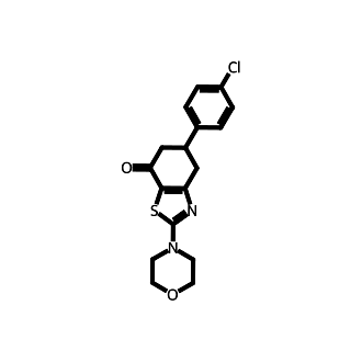 O=C1CC(c2ccc(Cl)cc2)Cc2nc(N3CCOCC3)sc21